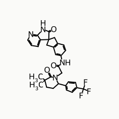 CC1(C)CCC(c2ccc(C(F)(F)F)cc2)N(CC(=O)Nc2ccc3c(c2)CC2(C3)C(=O)Nc3ncccc32)C1=O